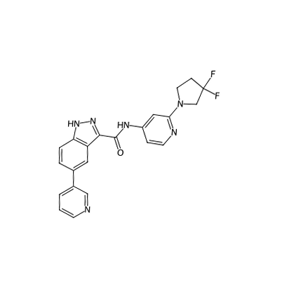 O=C(Nc1ccnc(N2CCC(F)(F)C2)c1)c1n[nH]c2ccc(-c3cccnc3)cc12